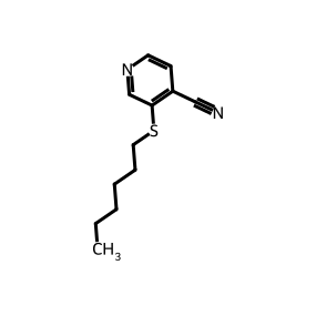 CCCCCCSc1cnccc1C#N